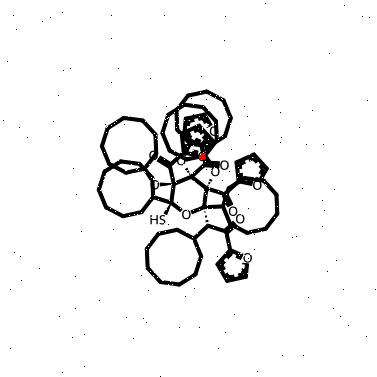 O=C(c1ccco1)C(C1CCCCCCCC1)[C@]1(C2CCCCCCCC2)O[C@](S)(C2CCCCCCCC2)[C@](OC2CCCCCCCC2)(C(=O)c2ccco2)[C@@](OC2CCCCCCCC2)(C(=O)c2ccco2)[C@@]1(OC1CCCCCCCC1)C(=O)c1ccco1